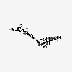 CNC(=O)[C@H](CCCNC(N)=O)NC(=O)[C@@H](NC(=O)CCOCCOCCNC(=O)CCN1C(=O)CC(CC(C)(C)C)C1=O)C(C)C